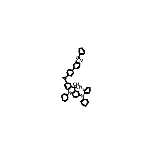 CC1(C)c2cc(C3CC3c3ccc(-c4ccc5nc(-c6ccccc6)sc5c4)cc3)ccc2N(c2ccccc2)c2ccc(N(c3ccccc3)c3ccccc3)cc21